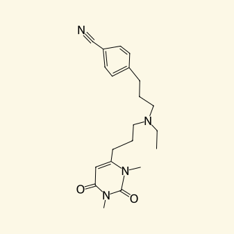 CCN(CCCc1ccc(C#N)cc1)CCCc1cc(=O)n(C)c(=O)n1C